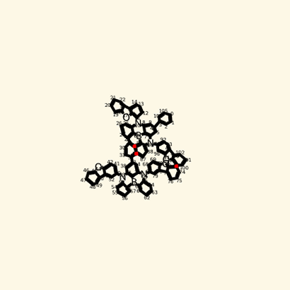 c1ccc(-c2cc3c4c(c2)N(c2cccc5c2oc2ccccc25)c2cccc(-c5ccc(-c6cc7c8c(c6)N(c6ccc9oc%10ccccc%10c9c6)c6ccccc6B8c6ccccc6N7c6ccc7oc8ccccc8c7c6)cc5)c2B4c2ccccc2N3c2ccc3c(c2)oc2ccccc23)cc1